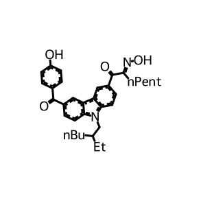 CCCCC/C(=N\O)C(=O)c1ccc2c(c1)c1cc(C(=O)c3ccc(O)cc3)ccc1n2CC(CC)CCCC